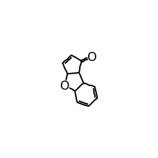 O=C1C=CC2OC3C=CC=CC3C12